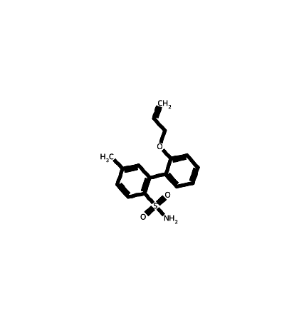 C=CCOc1ccccc1-c1cc(C)ccc1S(N)(=O)=O